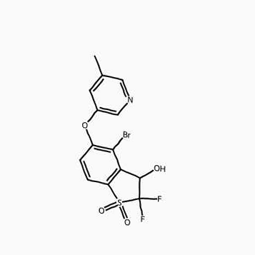 Cc1cncc(Oc2ccc3c(c2Br)C(O)C(F)(F)S3(=O)=O)c1